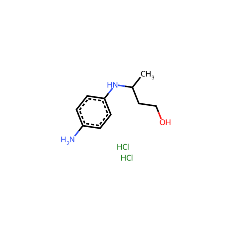 CC(CCO)Nc1ccc(N)cc1.Cl.Cl